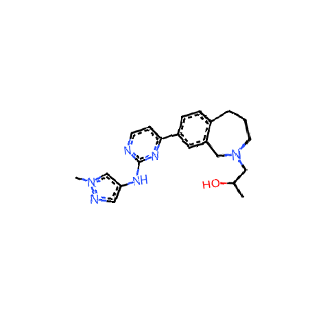 CC(O)CN1CCCc2ccc(-c3ccnc(Nc4cnn(C)c4)n3)cc2C1